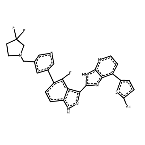 CC(=O)c1ccc(-c2ccnc3[nH]c(-c4n[nH]c5ccc(-c6cncc(CN7CCC(F)(F)C7)c6)c(F)c45)nc23)s1